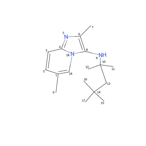 Cc1ccc2nc(C)c(NC(C)(C)CC(C)(C)C)n2c1